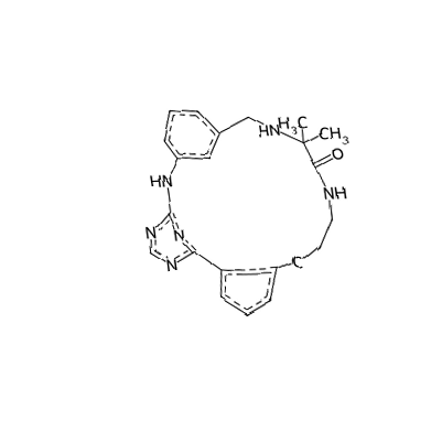 CC1(C)NCc2cccc(c2)Nc2ncnc(n2)-c2cccc(c2)CCCNC1=O